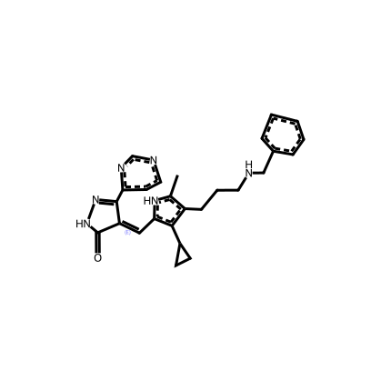 Cc1[nH]c(/C=C2/C(=O)NN=C2c2ccncn2)c(C2CC2)c1CCCNCc1ccccc1